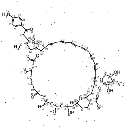 C[C@H]1/C=C/C=C/C=C/C=C\C=C/C=C/C=C/[C@H](O[C@@H]2OC[C@@H](O)[C@H](N)[C@@H]2O)C[C@@H]2O[C@@](O)(CC[C@H]2C(=O)O)C[C@@H](O)C[C@@H](O)C[C@@H](O)CC(=O)CCCC(O)CC(=O)O[C@@H]1[C@@H](N)C[C@H](C)[C@@H](O)CC(=O)c1ccc(N)cc1